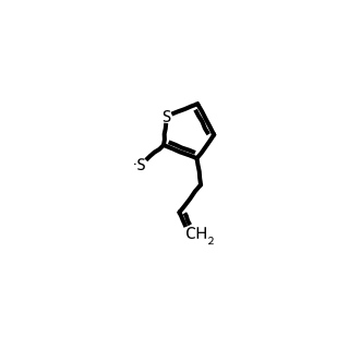 C=CCc1ccsc1[S]